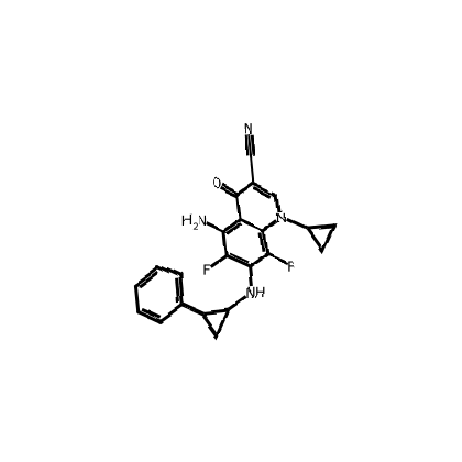 N#Cc1cn(C2CC2)c2c(F)c(NC3CC3c3ccccc3)c(F)c(N)c2c1=O